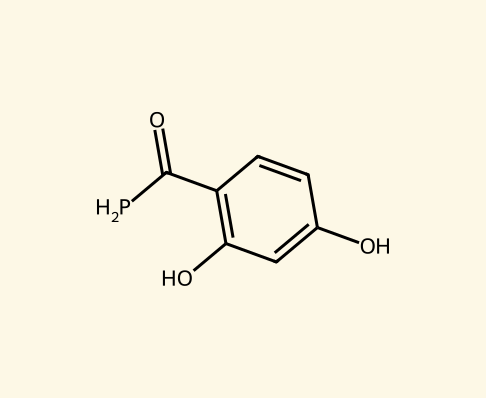 O=C(P)c1ccc(O)cc1O